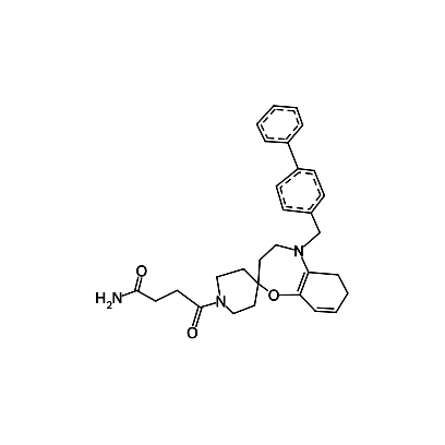 NC(=O)CCC(=O)N1CCC2(CC1)CCN(Cc1ccc(-c3ccccc3)cc1)C1=C(C=CCC1)O2